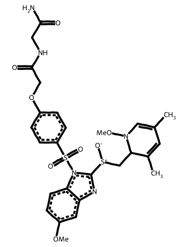 COc1ccc2c(c1)nc([S+]([O-])CC1C(C)=CC(C)=CN1OC)n2S(=O)(=O)c1ccc(OCC(=O)NCC(N)=O)cc1